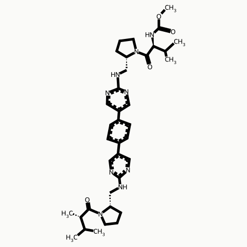 COC(=O)N[C@H](C(=O)N1CCC[C@H]1CNc1ncc(-c2ccc(-c3cnc(NC[C@@H]4CCCN4C(=O)[C@@H](C)C(C)C)nc3)cc2)cn1)C(C)C